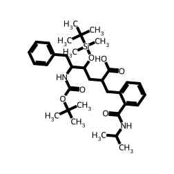 CC(C)NC(=O)c1ccccc1CC(CC(O[Si](C)(C)C(C)(C)C)C(Cc1ccccc1)NC(=O)OC(C)(C)C)C(=O)O